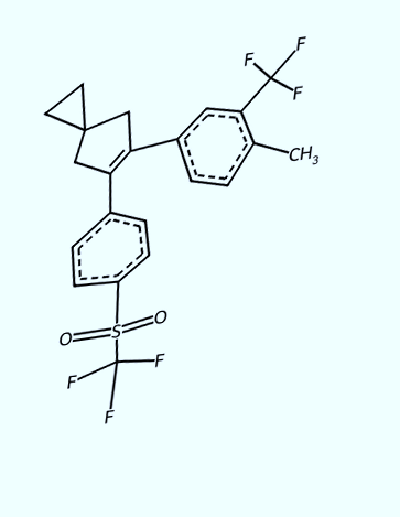 Cc1ccc(C2=C(c3ccc(S(=O)(=O)C(F)(F)F)cc3)CC3(CC3)C2)cc1C(F)(F)F